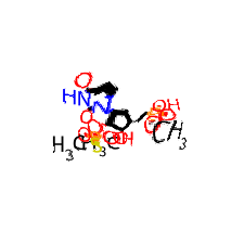 CO[C@@H]1[C@@H](CCP(=O)(O)OC)CC(n2ccc(=O)[nH]c2=O)[C@@H]1OP(O)(=S)OC